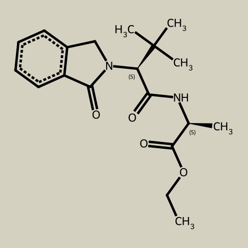 CCOC(=O)[C@H](C)NC(=O)[C@@H](N1Cc2ccccc2C1=O)C(C)(C)C